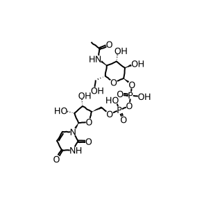 CC(=O)N[C@H]1[C@H](O)[C@@H](O)[C@@H](OP(=O)(O)OP(=O)(O)OC[C@H]2O[C@@H](n3ccc(=O)[nH]c3=O)[C@H](O)[C@@H]2O)O[C@@H]1CO